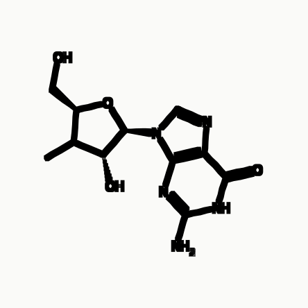 CC1[C@@H](O)[C@H](n2cnc3c(=O)[nH]c(N)nc32)O[C@@H]1CO